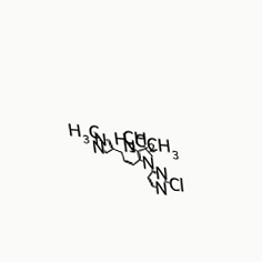 C=NC1=C(/C=C\Cc2cnn(C)c2)N(c2ccnc(Cl)n2)CC1(C)C